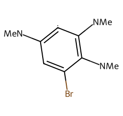 CNc1[c]c(NC)c(NC)c(Br)c1